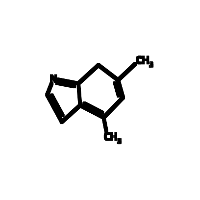 CC1=CC(C)=C2C=CN=C2C1